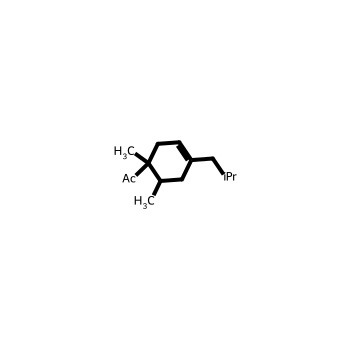 CC(=O)C1(C)CC=C(CC(C)C)CC1C